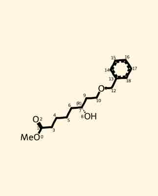 COC(=O)CCCC[C@@H](O)CCOCc1ccccc1